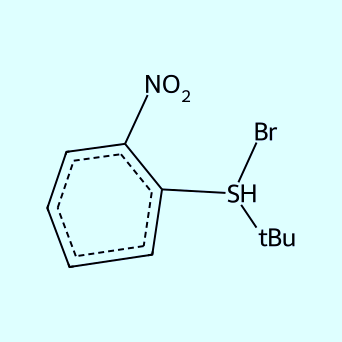 CC(C)(C)[SH](Br)c1ccccc1[N+](=O)[O-]